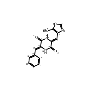 CC(C)(C)c1ocnc1C=c1[nH]c(=O)c(=Cc2ccccc2)[nH]c1=O